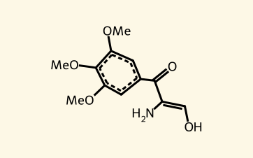 COc1cc(C(=O)/C(N)=C/O)cc(OC)c1OC